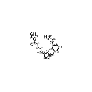 CCOC(=O)CCCNc1cnn(Cc2cccc(OCC)c2)c1